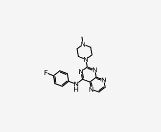 CN1CCN(c2nc(Nc3ccc(F)cc3)c3nccnc3n2)CC1